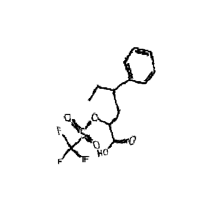 CCC(CC(OS(=O)(=O)C(F)(F)F)C(=O)O)c1ccccc1